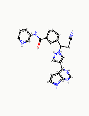 N#CCC(c1cccc(C(=O)Nc2cccnc2)c1)n1cc(-c2ncnc3[nH]ccc23)cn1